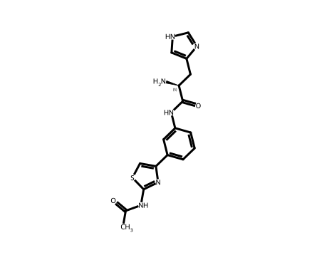 CC(=O)Nc1nc(-c2cccc(NC(=O)[C@@H](N)Cc3c[nH]cn3)c2)cs1